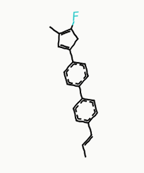 C/C=C/c1ccc(-c2ccc(C3=CC(C)=C(F)C3)cc2)cc1